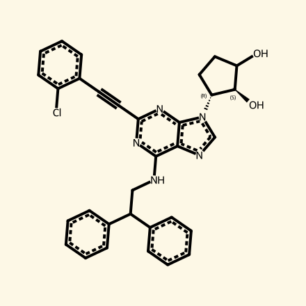 OC1CC[C@@H](n2cnc3c(NCC(c4ccccc4)c4ccccc4)nc(C#Cc4ccccc4Cl)nc32)[C@@H]1O